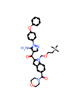 C[Si](C)(C)CCOCn1c(C(=O)c2cnn(-c3ccc(Oc4ccccc4)cc3)c2N)cc2cc(C(=O)N3CCOCC3)ccc21